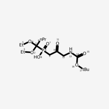 CCCC(OCC)(OCC)P(=O)(O)CC(=O)CNC(=O)OC(C)(C)C